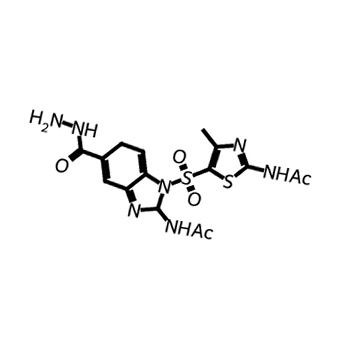 CC(=O)Nc1nc(C)c(S(=O)(=O)N2C3=CCC(C(=O)NN)=CC3=NC2NC(C)=O)s1